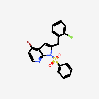 O=S(=O)(c1ccccc1)n1c(Cc2ccccc2F)cc2c(Br)ccnc21